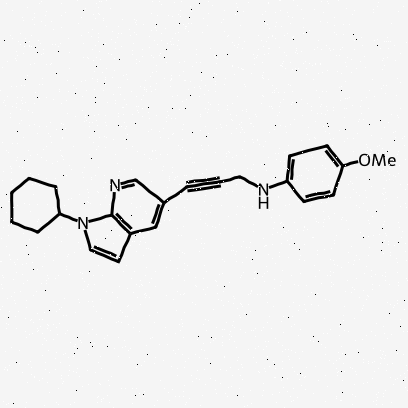 COc1ccc(NCC#Cc2cnc3c(ccn3C3CCCCC3)c2)cc1